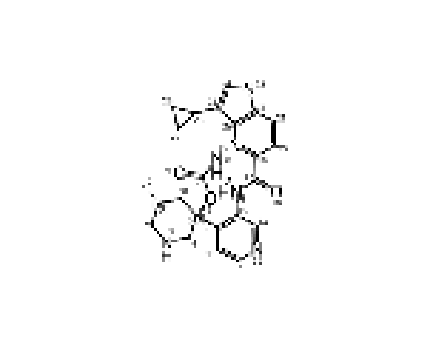 C[C@H]1CNC[C@@](OC(N)=O)(c2ccncc2NC(=O)c2ccc3scc(C4CC4)c3n2)C1